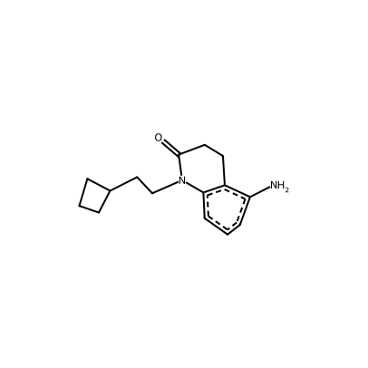 Nc1cccc2c1CCC(=O)N2CCC1CCC1